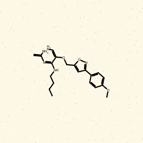 C=C(N)/N=C(NCCCC)\C(=C/N)OCc1cc(-c2ccc(OC)cc2)no1